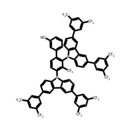 N#Cc1cccc(-c2ccc(-n3c4ccc(-c5cc(C(F)(F)F)cc(C(F)(F)F)c5)cc4c4cc(-c5cc(C(F)(F)F)cc(C(F)(F)F)c5)ccc43)c(C(F)(F)F)c2-n2c3ccc(-c4cc(C(F)(F)F)cc(C(F)(F)F)c4)cc3c3cc(-c4cc(C(F)(F)F)cc(C(F)(F)F)c4)ccc32)c1